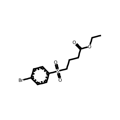 CCOC(=O)CCCS(=O)(=O)c1ccc(Br)cc1